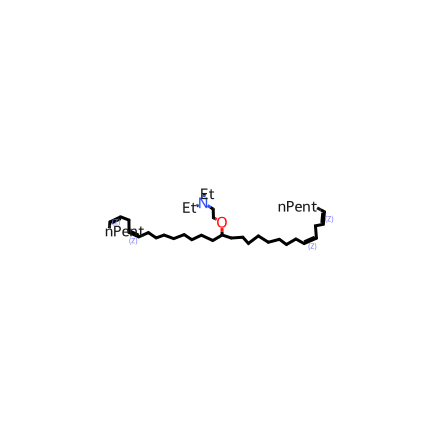 CCCCC/C=C\C/C=C\CCCCCCCCC(CCCCCCCC/C=C\C/C=C\CCCCC)OCCN(CC)CC